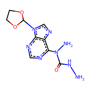 NNC(=O)N(N)c1ncnc2c1ncn2C1OCCO1